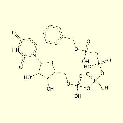 O=c1ccn([C@@H]2O[C@H](COP(=O)(O)OP(=O)(O)OP(=O)(O)OP(=O)(O)OCc3ccccc3)[C@H](O)C2O)c(=O)[nH]1